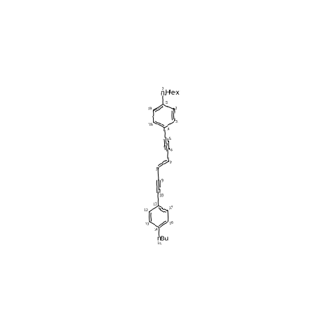 CCCCCCc1ccc(C#C/C=C/C#Cc2ccc(CCCC)cc2)cc1